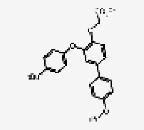 CCOC(=O)COc1ccc(-c2ccc(OC(C)C)cc2)cc1Oc1ccc(C(C)(C)C)cc1